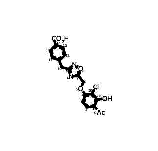 CC(=O)c1ccc(OCc2nc(Cc3ccc(C(=O)O)cc3)no2)c(Cl)c1O